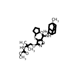 COC(=O)NC(C)(C)COc1noc(C(=O)N[C@H]2C3CC4CC2C[C@](C)(C4)C3)c1SC1CCCC1